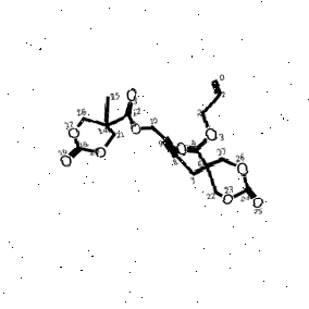 C=CCOC(=O)C1(CC#CCOC(=O)C2(C)COC(=O)OC2)COC(=O)OC1